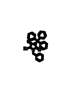 CCC1C(=O)N([Si](c2ccccc2)(c2ccccc2)c2ccccc2)C(=O)N1Cc1ccccc1